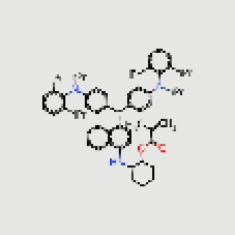 C=C(C)C(=O)OC1CCCCC1Nc1ccc(C(c2ccc(N(CCC)c3c(C(C)C)cccc3C(C)C)cc2)c2ccc(N(CCC)c3c(C(C)C)cccc3C(C)C)cc2)c2ccccc12